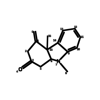 C=C1CC(=O)CC2N(C)c3ccccc3C12C